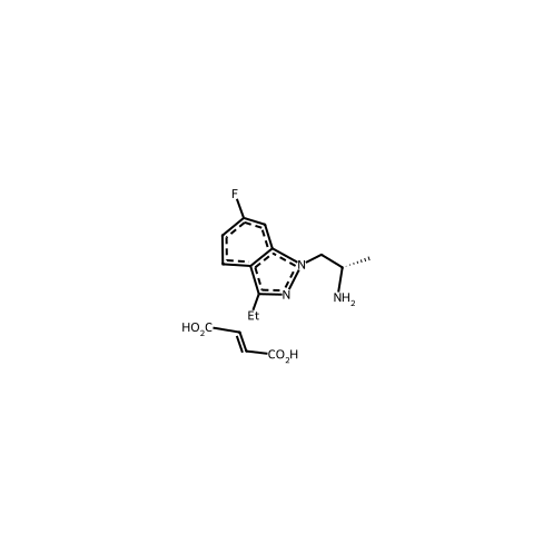 CCc1nn(C[C@H](C)N)c2cc(F)ccc12.O=C(O)C=CC(=O)O